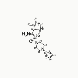 Cc1nnc2sc(C(=O)N3CCN(c4nccs4)CC3)c(N)c2c1C